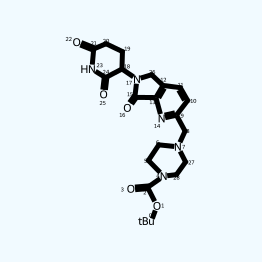 CC(C)(C)OC(=O)N1CCN(Cc2ccc3c(n2)C(=O)N(C2CCC(=O)NC2=O)C3)CC1